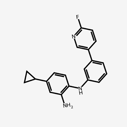 Nc1cc(C2CC2)ccc1Nc1cccc(-c2ccc(F)nc2)c1